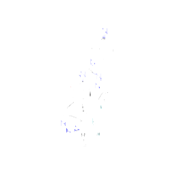 COc1nc(NCC(C)(C)C#N)nn2cc(F)c(-c3ccc4nnn([C@H](C)C(F)F)c4c3)c12